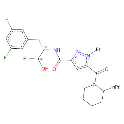 CCCC1CCCCN1C(=O)c1cc(C(=O)N[C@@H](Cc2cc(F)cc(F)c2)[C@H](O)CC)nn1CC